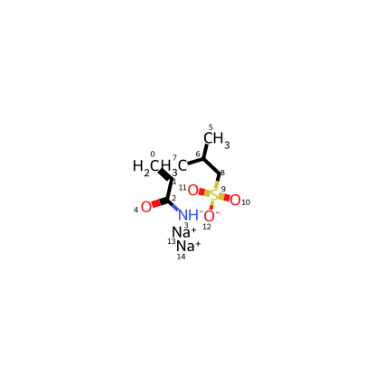 C=CC([NH-])=O.CC(C)CS(=O)(=O)[O-].[Na+].[Na+]